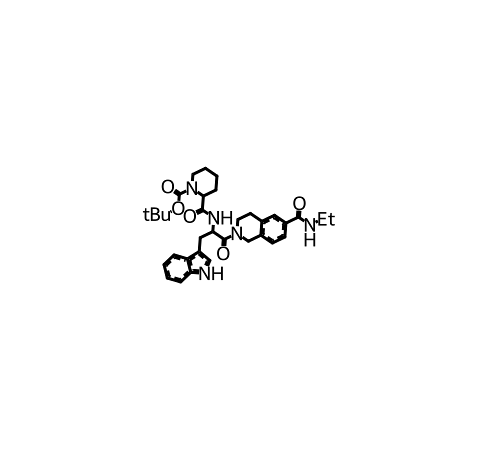 CCNC(=O)c1ccc2c(c1)CCN(C(=O)C(Cc1c[nH]c3ccccc13)NC(=O)C1CCCCN1C(=O)OC(C)(C)C)C2